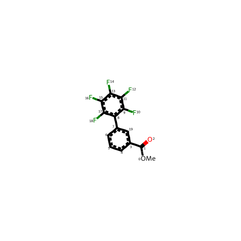 COC(=O)c1cccc(-c2c(F)c(F)c(F)c(F)c2F)c1